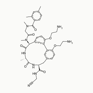 Cc1ccc(C(=O)N(C)CC(=O)N(C)[C@@H]2C(=O)N[C@@H](C)C(=O)N[C@H](C(=O)NCC#N)Cc3ccc(OCCN)c(c3)-c3cc2ccc3OCCN)c(C)c1